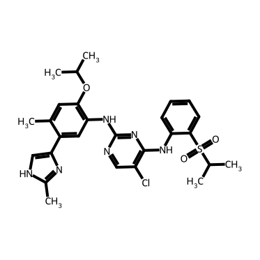 Cc1nc(-c2cc(Nc3ncc(Cl)c(Nc4ccccc4S(=O)(=O)C(C)C)n3)c(OC(C)C)cc2C)c[nH]1